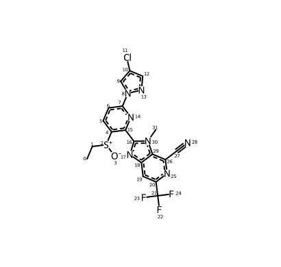 CC[S+]([O-])c1ccc(-n2cc(Cl)cn2)nc1-c1nc2cc(C(F)(F)F)nc(C#N)c2n1C